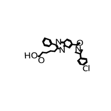 O=C(O)CCCCc1nc2cc(C(=O)N3CC(c4ccc(Cl)cc4)C3)ccc2nc1-c1ccccc1